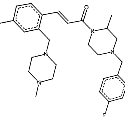 CC1CN(Cc2ccc(F)cc2)CCN1C(=O)C=Cc1ccc(Cl)cc1CN1CCN(C)CC1